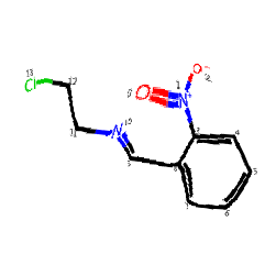 O=[N+]([O-])c1ccccc1/C=N/CCCl